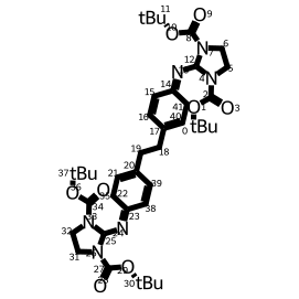 CC(C)(C)OC(=O)N1CCN(C(=O)OC(C)(C)C)C1N=C1C=CC(CCC2=CCC(=NC3N(C(=O)OC(C)(C)C)CCN3C(=O)OC(C)(C)C)C=C2)=CC1